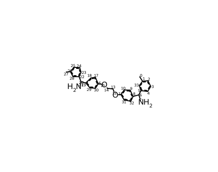 Cc1cccc(C(N)c2ccc(OCCOc3ccc(C(N)c4cccc(C)c4)cc3)cc2)c1